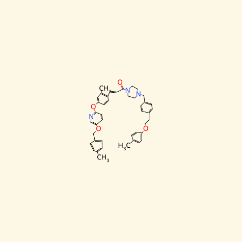 Cc1ccc(COc2ccc(Oc3ccc(C=CC(=O)N4CCN(Cc5ccc(CCOc6ccc(C)cc6)cc5)CC4)c(C)c3)nc2)cc1